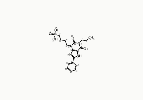 CCCn1c(=O)c2[nH]c(-c3ccccc3)nc2n(CCCCP(=O)(O)O)c1=O